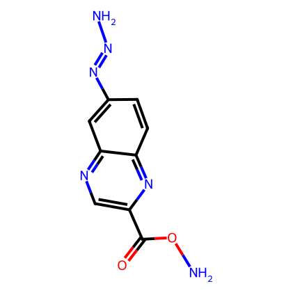 NN=Nc1ccc2nc(C(=O)ON)cnc2c1